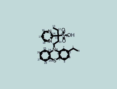 CCc1ccc2c(c1)N(CCC(CC)(c1ncccn1)S(=O)(=O)O)c1ccccc1S2